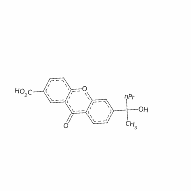 CCCC(C)(O)c1ccc2c(=O)c3cc(C(=O)O)ccc3oc2c1